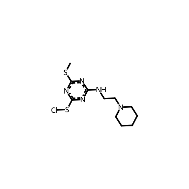 CSc1nc(NCCN2CCCCC2)nc(SCl)n1